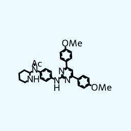 COc1ccc(-c2cc(-c3ccc(OC)cc3)nc(Nc3ccc(N(C(C)=O)C4CCCCN4)cc3)n2)cc1